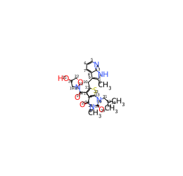 Cc1[nH]c2ncccc2c1Cc1sc2c(c1C(=O)N1C[C@@H](O)CO1)c(=O)n(C)c(=O)n2CC(C)C